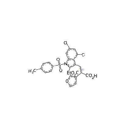 CCOC(=O)c1c(/C=C(/C(=O)O)c2ccoc2)c2c(Cl)cc(Cl)cc2n1S(=O)(=O)c1ccc(C)cc1